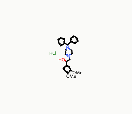 COc1ccc(C(O)CN2CCN(C(c3ccccc3)c3ccccc3)CC2)cc1OC.Cl